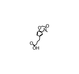 CN1C(=O)COc2ccc(CCCC(=O)O)cc21